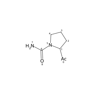 CC(=O)C1CCCN1C(N)=O